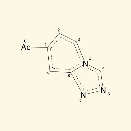 CC(=O)c1ccn2cnnc2c1